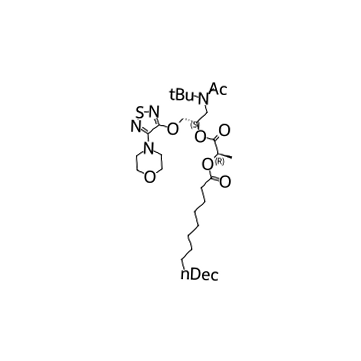 CCCCCCCCCCCCCCCCCC(=O)O[C@H](C)C(=O)O[C@H](COc1nsnc1N1CCOCC1)CN(C(C)=O)C(C)(C)C